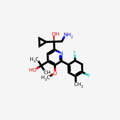 COc1c(C(C)(C)O)cc([C@@](O)(CN)C2CC2)nc1C1=CC(C)=C(F)CC1F